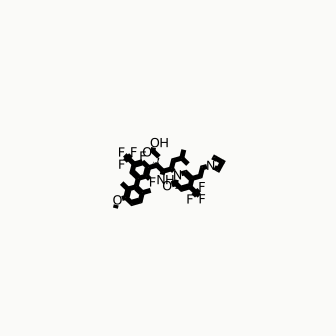 COc1ccc(C)c(-c2cc(C(F)(F)F)c(F)c([C@H](CC(=O)O)C(N)C(CC(C)C)n3cc(CCN4CCC4)c(C(F)(F)F)cc3=O)c2F)c1C